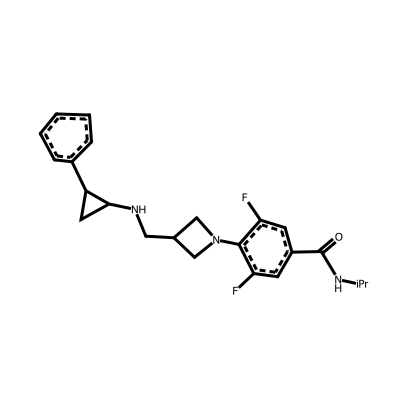 CC(C)NC(=O)c1cc(F)c(N2CC(CNC3CC3c3ccccc3)C2)c(F)c1